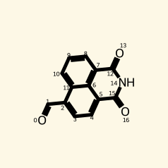 O=Cc1ccc2c3c(cccc13)C(=O)NC2=O